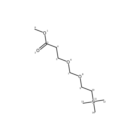 COC(=O)CCOCOCC[Si](C)(C)C